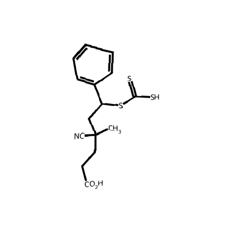 CC(C#N)(CCC(=O)O)CC(SC(=S)S)c1ccccc1